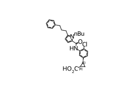 CCCCn1c(CCCc2ccccc2)ccc1C(=O)Nc1cc([C@H]2C[C@H]2C(=O)O)ccc1Cl